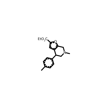 CCOC(=O)c1cc2c(o1)CN(C)CC2c1ccc(C)cc1